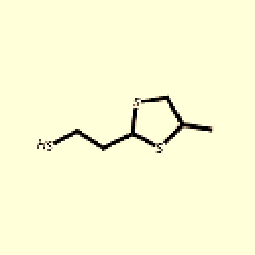 CC1CSC(CCS)S1